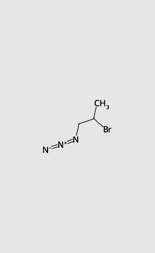 CC(Br)CN=[N+]=[N-]